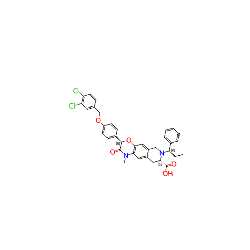 CC[C@H](c1ccccc1)N1Cc2cc3c(cc2C[C@H]1C(=O)O)N(C)C(=O)[C@@H](c1ccc(OCc2ccc(Cl)c(Cl)c2)cc1)O3